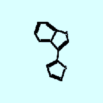 c1csc(-c2csc3ccccc23)c1